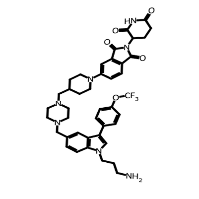 NCCCn1cc(-c2ccc(OC(F)(F)F)cc2)c2cc(CN3CCN(CC4CCN(c5ccc6c(c5)C(=O)N(C5CCC(=O)NC5=O)C6=O)CC4)CC3)ccc21